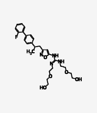 CC(Cc1cc(NC(=NCCOCCO)NCCOCCO)on1)c1ccc(-c2ccccc2F)cc1